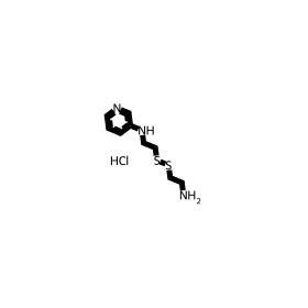 Cl.NCCSSCCNc1cccnc1